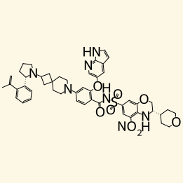 C=C(C)c1ccccc1[C@@H]1CCCN1C1CC2(CCN(c3ccc(C(=O)NS(=O)(=O)c4cc5c(c([N+](=O)[O-])c4)N[C@@H](C4CCOCC4)CO5)c(Oc4cnc5[nH]ccc5c4)c3)CC2)C1